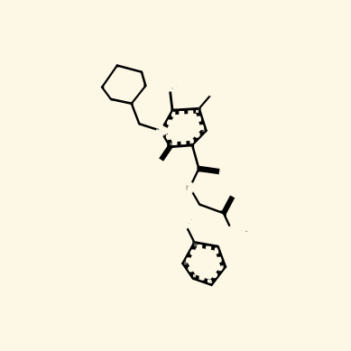 CCCc1c(CC)cc(C(=O)N[C@@H](Cc2ccccc2)C(=O)OC)c(=O)n1CC1CCCCC1